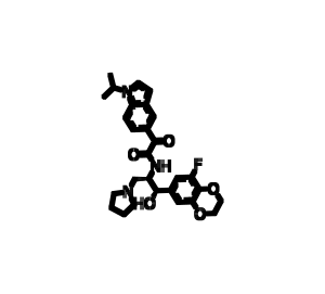 CC(C)n1ccc2cc(C(=O)C(=O)N[C@H](CN3CCCC3)[C@H](O)c3cc(F)c4c(c3)OCCO4)ccc21